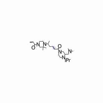 C=CC(=O)N1CCN(C(C)C/C=C/C(=O)N2CCN(C(C)C)C(CN(C)C)C2)C(C)(C)C1